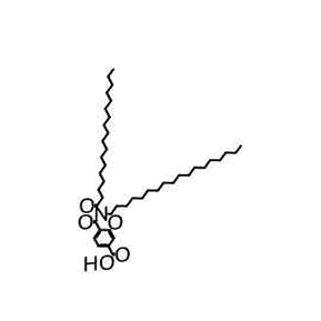 CCCCCCCCCCCCCCCCCC(=O)N(C(=O)CCCCCCCCCCCCCCCCC)C(=O)c1ccc(C(=O)O)cc1